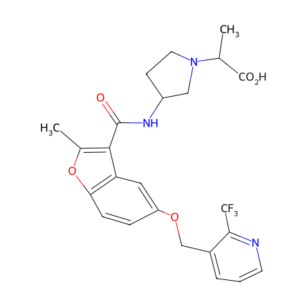 Cc1oc2ccc(OCc3cccnc3C(F)(F)F)cc2c1C(=O)NC1CCN(C(C)C(=O)O)C1